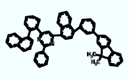 CC1(C)c2ccccc2-c2ccc(-c3cccc(-c4ccc(-c5cc(-c6ccccc6-c6cccc7ccccc67)nc(-c6ccccc6)n5)c5ccccc45)c3)cc21